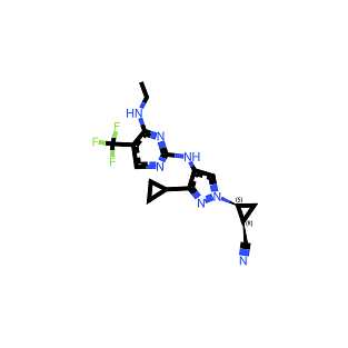 CCNc1nc(Nc2cn([C@H]3C[C@H]3C#N)nc2C2CC2)ncc1C(F)(F)F